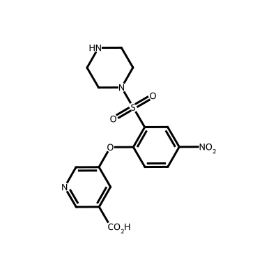 O=C(O)c1cncc(Oc2ccc([N+](=O)[O-])cc2S(=O)(=O)N2CCNCC2)c1